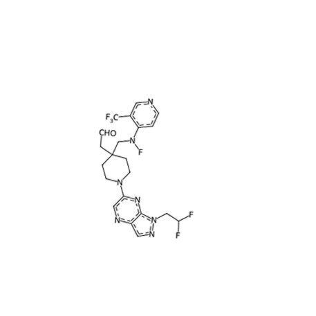 O=CCC1(CN(F)c2ccncc2C(F)(F)F)CCN(c2cnc3cnn(CC(F)F)c3n2)CC1